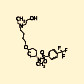 CCN(CCO)CCCCO[C@H]1CC[C@H](N(C)S(=O)(=O)c2ccc(C(F)(F)F)cc2)CC1